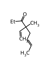 C=CC(C)(CC=CC)C(=O)CC